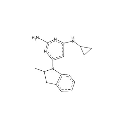 CC1Cc2ccccc2N1c1cc(NC2CC2)nc(N)n1